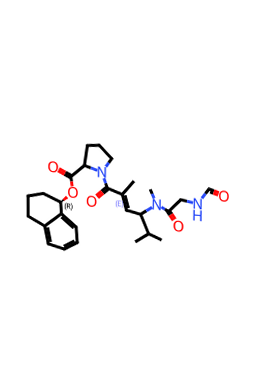 C/C(=C\C(C(C)C)N(C)C(=O)CNC=O)C(=O)N1CCCC1C(=O)O[C@@H]1CCCc2ccccc21